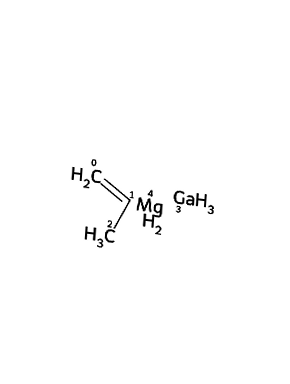 C=CC.[GaH3].[MgH2]